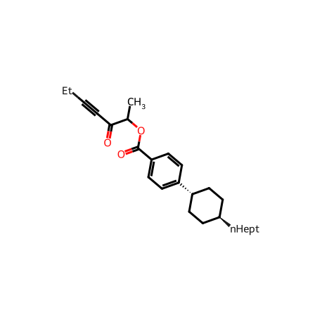 CCC#CC(=O)C(C)OC(=O)c1ccc([C@H]2CC[C@H](CCCCCCC)CC2)cc1